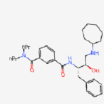 CCCN(CCC)C(=O)c1cccc(C(=O)N[C@@H](Cc2ccccc2)[C@H](O)CNC2CCCCCC2)c1